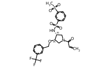 C=CC(=O)N1C[C@@H](NS(=O)(=O)c2cccc(S(C)(=O)=O)c2)[C@H](OCc2cccc(C(F)(F)F)c2)C1